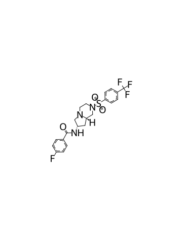 O=C(N[C@H]1C[C@H]2CN(S(=O)(=O)c3ccc(C(F)(F)F)cc3)CCN2C1)c1ccc(F)cc1